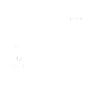 CCCCCCCCC=CCCCCCCCC(=O)NC(C)(C)C(=O)O